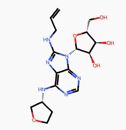 C=CCNc1nc2c(N[C@@H]3CCOC3)ncnc2n1[C@@H]1O[C@H](CO)[C@@H](O)[C@H]1O